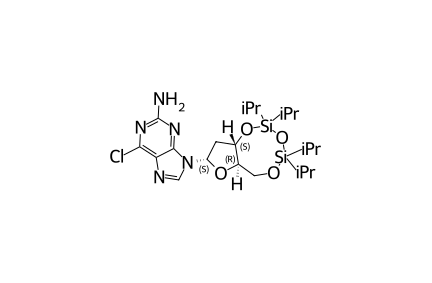 CC(C)[Si]1(C(C)C)OC[C@H]2O[C@H](n3cnc4c(Cl)nc(N)nc43)C[C@@H]2O[Si](C(C)C)(C(C)C)O1